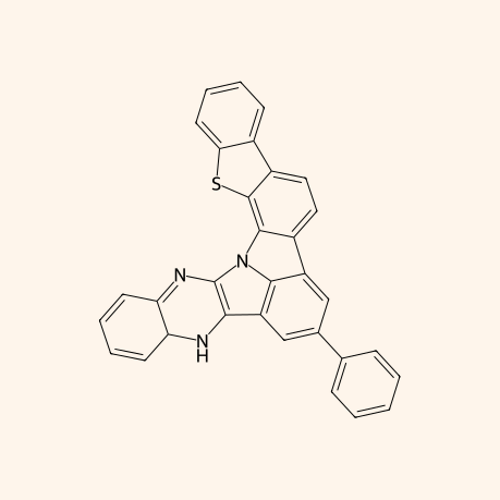 C1=CC2=Nc3c(c4cc(-c5ccccc5)cc5c6ccc7c8ccccc8sc7c6n3c45)NC2C=C1